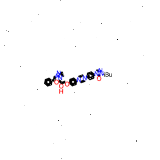 CC[C@H](C)n1ncn(-c2ccc(N3CCN(c4ccc(OC[C@H](O)COC(Cn5nccn5)c5ccccc5)cc4)CC3)cc2)c1=O